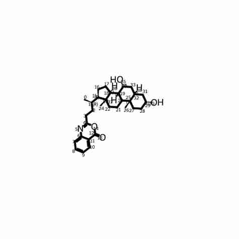 C[C@H](CCc1nc2ccccc2c(=O)o1)[C@H]1CC[C@H]2[C@H]3C(CC[C@]12C)[C@@]1(C)CC[C@@H](O)C[C@H]1C[C@H]3O